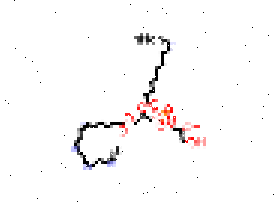 CC/C=C\C/C=C\C/C=C\C/C=C\CCCCC(=O)OC[C@H](COP(=O)(O)OC[C@@H](O)CO)OC(=O)CCCCCCC/C=C\CCCCCCCCC